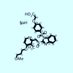 COCCCOc1ccnc(C[S+]([O-])c2nc3ccccc3n2S(=O)(=O)c2ccc(OCC(=O)O)cc2)c1C.[NaH]